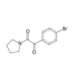 O=C(C(=O)N1CCCC1)c1ccc(Br)cc1